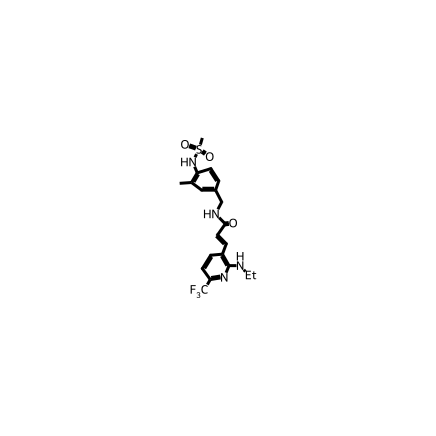 CCNc1nc(C(F)(F)F)ccc1C=CC(=O)NCc1ccc(NS(C)(=O)=O)c(C)c1